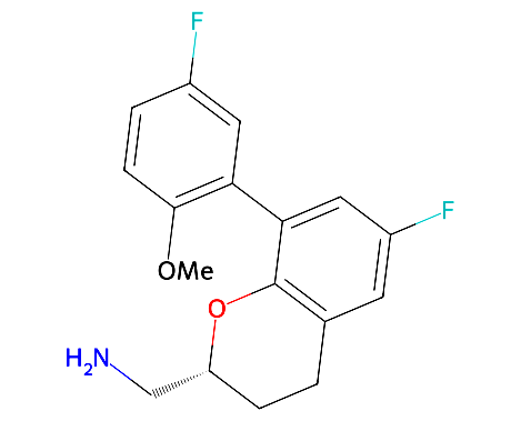 COc1ccc(F)cc1-c1cc(F)cc2c1O[C@@H](CN)CC2